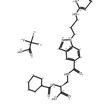 O=C(NC[C@H](NC(=O)C1CCCCC1)C(=O)O)c1ccc2c(cnn2CCCNc2ccccn2)c1.O=C(O)C(F)(F)F